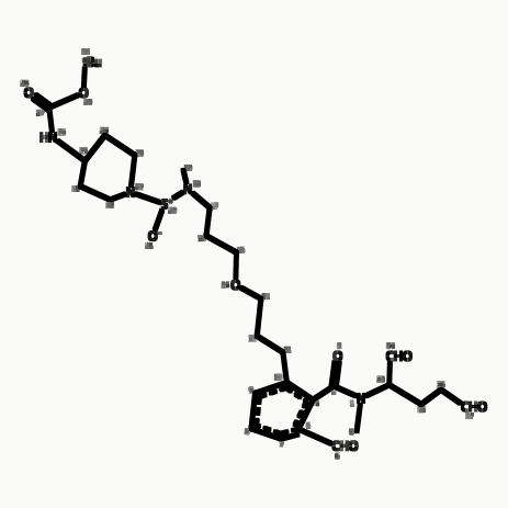 CN(C(=O)c1c(C=O)cccc1CCCOCCCN(C)[S+]([O-])N1CCC(NC(=O)OC(C)(C)C)CC1)C(C=O)CCC=O